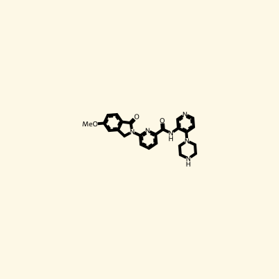 COc1ccc2c(c1)CN(c1cccc(C(=O)Nc3cnccc3N3CCNCC3)n1)C2=O